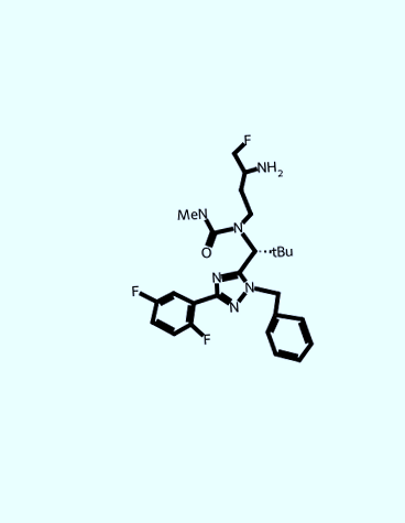 CNC(=O)N(CCC(N)CF)[C@@H](c1nc(-c2cc(F)ccc2F)nn1Cc1ccccc1)C(C)(C)C